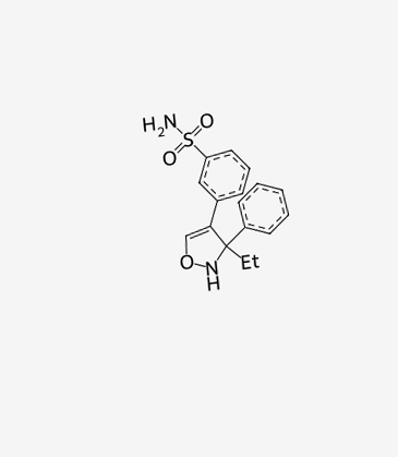 CCC1(c2ccccc2)NOC=C1c1cccc(S(N)(=O)=O)c1